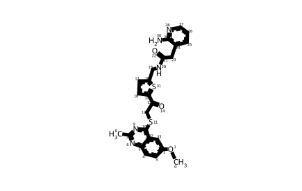 COc1ccc2nc(C)nc(SCC(=O)c3ccc(CNC(=O)Cc4cccnc4N)s3)c2c1